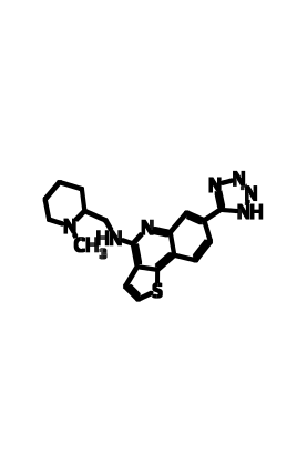 CN1CCCCC1CNc1nc2cc(-c3nnn[nH]3)ccc2c2sccc12